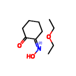 CCOCC.O=C1CCCC/C1=N/O